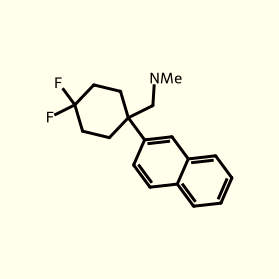 CNCC1(c2ccc3ccccc3c2)CCC(F)(F)CC1